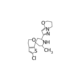 CC1CC2(CC(c3cc4n(n3)CCCO4)N1)OCCc1cc(Cl)sc12